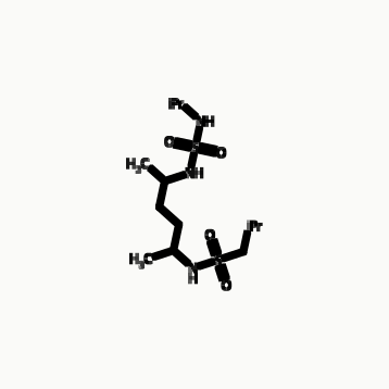 CC(C)CS(=O)(=O)NC(C)CCC(C)NS(=O)(=O)NC(C)C